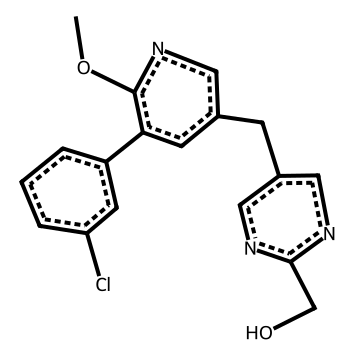 COc1ncc(Cc2cnc(CO)nc2)cc1-c1cccc(Cl)c1